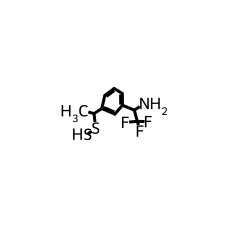 CC(SS)c1cccc(C(N)C(F)(F)F)c1